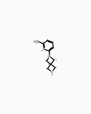 Nc1cccc(N2CC3(COC3)C2)n1